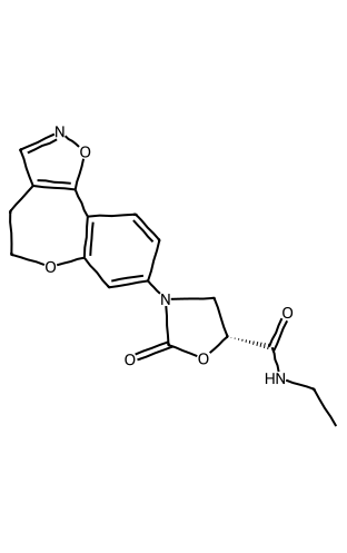 CCNC(=O)[C@H]1CN(c2ccc3c(c2)OCCc2cnoc2-3)C(=O)O1